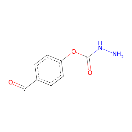 NNC(=O)Oc1ccc([C]=O)cc1